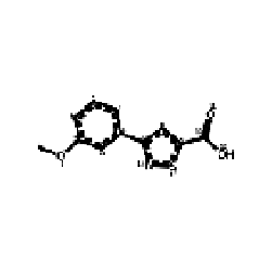 COc1cccc(-c2cc(C(=O)O)sn2)c1